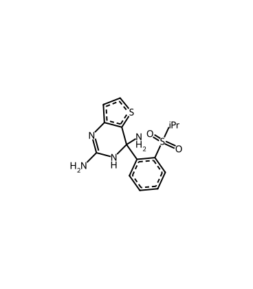 CC(C)S(=O)(=O)c1ccccc1C1(N)NC(N)=Nc2ccsc21